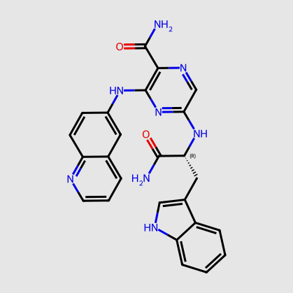 NC(=O)c1ncc(N[C@H](Cc2c[nH]c3ccccc23)C(N)=O)nc1Nc1ccc2ncccc2c1